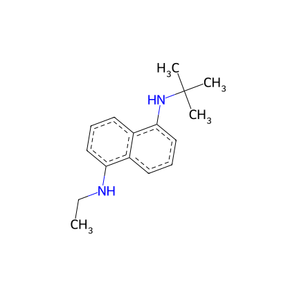 CCNc1cccc2c(NC(C)(C)C)cccc12